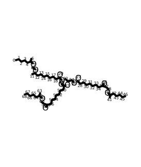 CCCCCC(C)OCOC(C)CCCCCCCC(=O)OCC(COC(=O)CCCCCCCC1OC1COC(C)CCCCC)OC(=O)CCCCCCCC1OC1COC(C)CCCCC